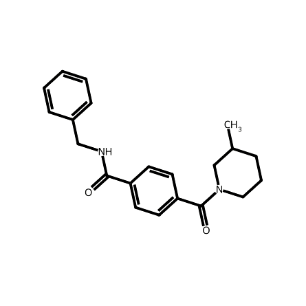 CC1CCCN(C(=O)c2ccc(C(=O)NCc3ccccc3)cc2)C1